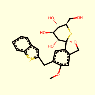 COc1cc2c(cc1Cc1cc3ccccc3s1)[C@]1(OC2)S[C@H](CO)[C@@H](O)[C@H](O)[C@H]1O